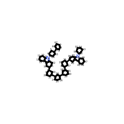 c1ccc(-c2ccc(-n3c4ccccc4c4cc(-c5cccc(-c6cccc(-c7cccc(-c8cccc(-c9ccc%10c(c9)c9ccccc9n%10-c9ccccc9)c8)c7)c6)c5)ccc43)cc2)cc1